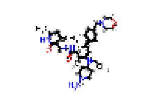 CCN(c1cc(-c2ccc(CN3CCOCC3)cc2)cc(C(=O)NCc2c(C)cc(C)[nH]c2=O)c1C)C1CCN(N)CC1